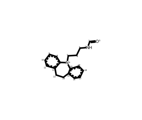 O=CNCCCN1c2ccccc2CCc2ccccc21